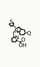 COc1ccc2c(c1)cc(-c1ccsc1)n2Cc1cccc(C(=O)O)n1